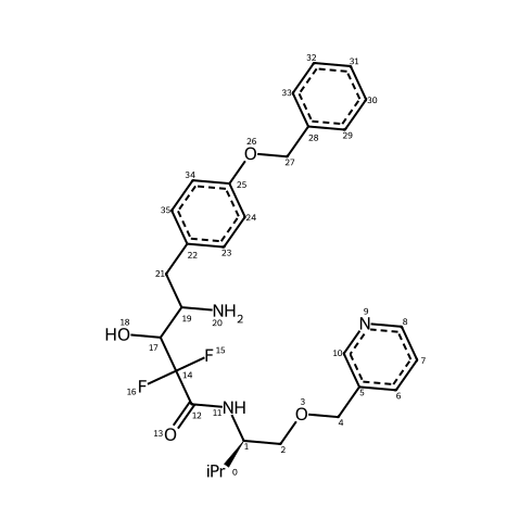 CC(C)[C@H](COCc1cccnc1)NC(=O)C(F)(F)C(O)C(N)Cc1ccc(OCc2ccccc2)cc1